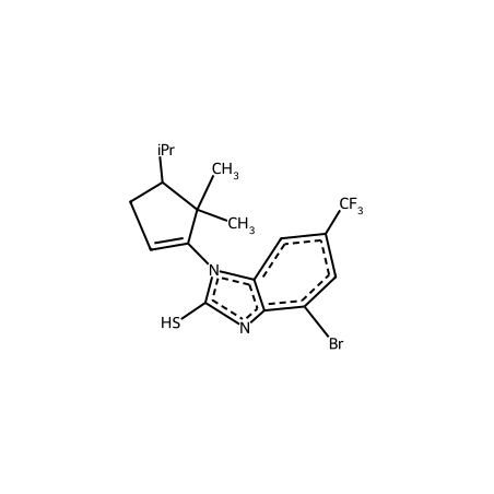 CC(C)C1CC=C(n2c(S)nc3c(Br)cc(C(F)(F)F)cc32)C1(C)C